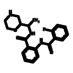 CC(NC(=O)c1ccccc1NC(=O)c1ccccc1F)C1CNCCO1